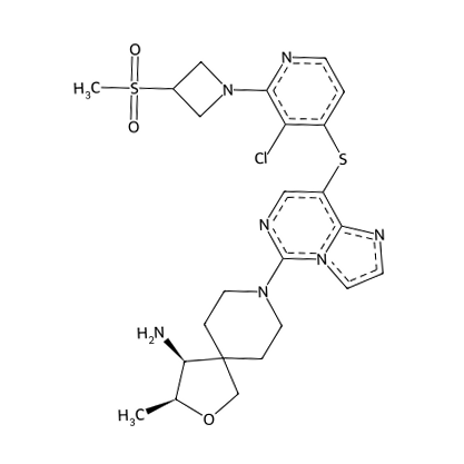 C[C@@H]1OCC2(CCN(c3ncc(Sc4ccnc(N5CC(S(C)(=O)=O)C5)c4Cl)c4nccn34)CC2)[C@@H]1N